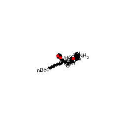 CCCCCCCCCCCCCCCCCCOC[C@@H](CCc1ccccc1)COP(=O)(O)OC1[C@H]2O[C@@](C)(c3ccc4c(N)ncnn34)[C@H](O)[C@@]12O